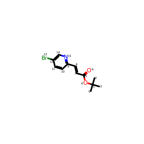 CC(C)(C)OC(=O)C=Cc1ccc(Br)cn1